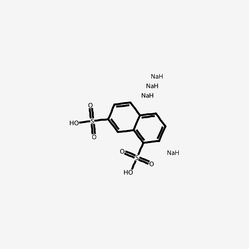 O=S(=O)(O)c1ccc2cccc(S(=O)(=O)O)c2c1.[NaH].[NaH].[NaH].[NaH]